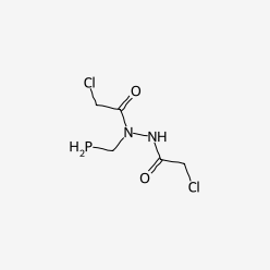 O=C(CCl)NN(CP)C(=O)CCl